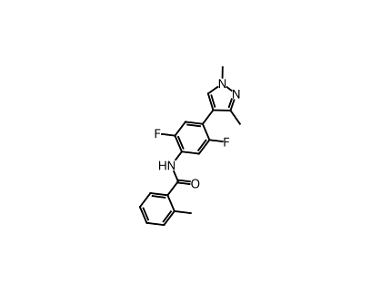 Cc1ccccc1C(=O)Nc1cc(F)c(-c2cn(C)nc2C)cc1F